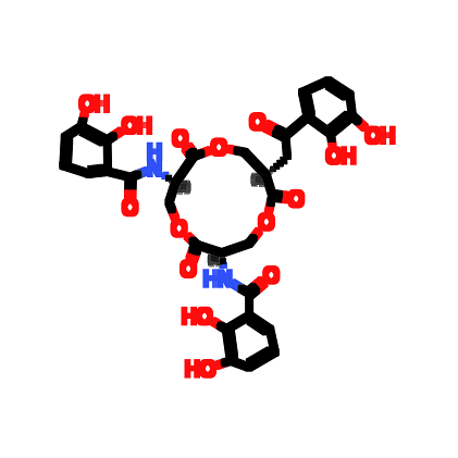 O=C(C[C@H]1COC(=O)[C@@H](NC(=O)c2cccc(O)c2O)COC(=O)[C@@H](NC(=O)c2cccc(O)c2O)COC1=O)c1cccc(O)c1O